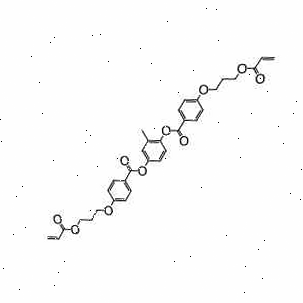 C=CC(=O)OCCCOc1ccc(C(=O)Oc2ccc(OC(=O)c3ccc(OCCCOC(=O)C=C)cc3)c(C)c2)cc1